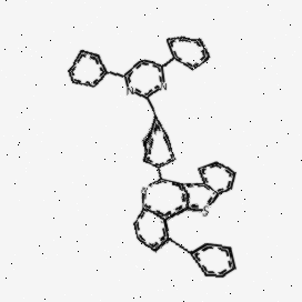 c1ccc(-c2cc(-c3ccccc3)nc(-c3ccc(-c4nc5cccc(-c6ccccc6)c5c5sc6ccccc6c45)cc3)n2)cc1